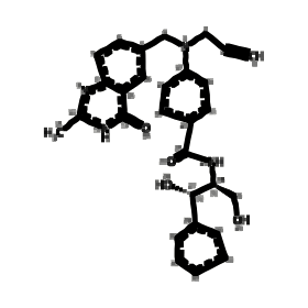 C#CCN(Cc1ccc2nc(C)[nH]c(=O)c2c1)c1ccc(C(=O)N[C@@H](CO)[C@@H](O)c2ccccc2)cc1